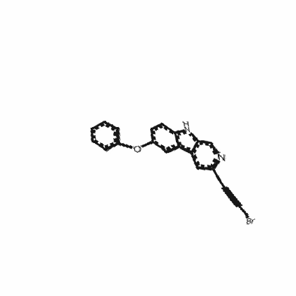 BrC#Cc1cc2c(cn1)[nH]c1ccc(Oc3ccccc3)cc12